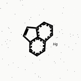 C1=Cc2cccc3cccc1c23.[Hg]